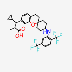 CC(C(=O)O)C(c1ccc2c(c1)OC1(CC2)CCC(Nc2cc(C(F)(F)F)ccc2C(F)(F)F)CC1)C1CC1